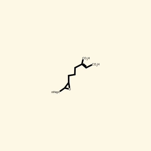 CCCCCCCC1OC1CCCC(=CC(=O)O)C(=O)O